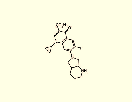 O=C(O)c1cn(C2CC2)c2cc(N3CC4CCCNC4C3)c(F)cc2c1=O